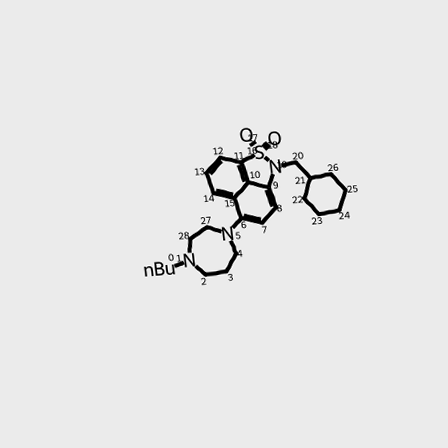 CCCCN1CCCN(c2ccc3c4c(cccc24)S(=O)(=O)N3CC2CCCCC2)CC1